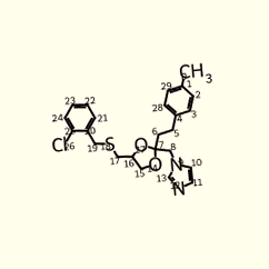 Cc1ccc(CCC2(Cn3ccnc3)OCC(CSCc3ccccc3Cl)O2)cc1